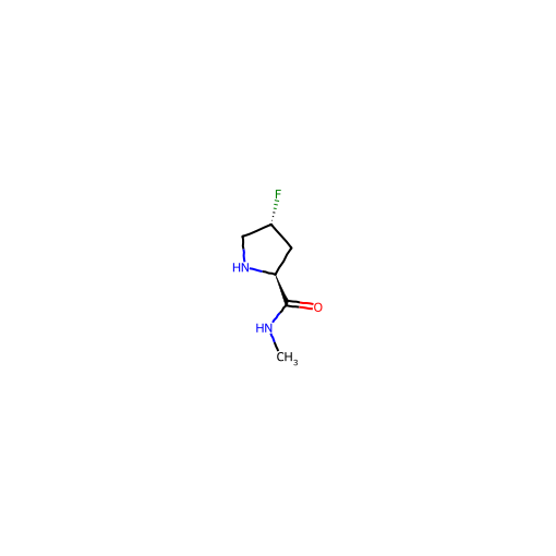 CNC(=O)[C@@H]1C[C@@H](F)CN1